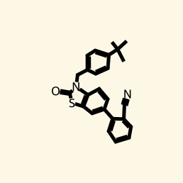 CC(C)(C)c1ccc(Cn2c(=O)sc3cc(-c4ccccc4C#N)ccc32)cc1